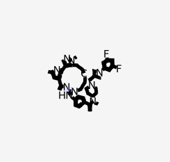 C=C1/N=C2\Nc3ccc(C(=C)N(C)C4CCN(CC5CN(c6cc(F)cc(F)c6)C5)CC4)cc3N2CCCCCCc2c(cnn2C)-c2cc1cc(C)n2